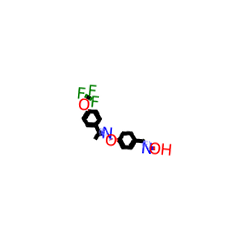 C/C(=N\OC1=CC=C(/C=N/O)CC1)c1ccc(OC(F)(F)F)cc1